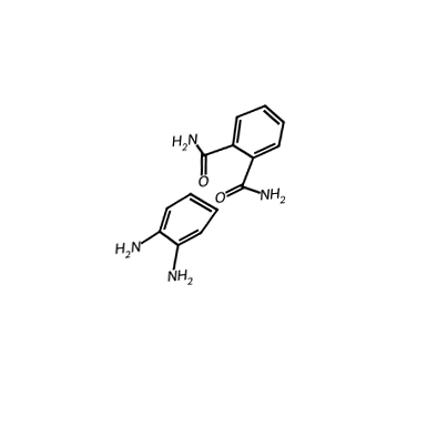 NC(=O)c1ccccc1C(N)=O.Nc1ccccc1N